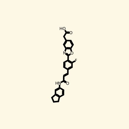 O=C(O)Cc1ccc2oc(-c3ccc(C=CC(=O)Nc4ccc5c(c4)CCC5)cc3F)nc2c1